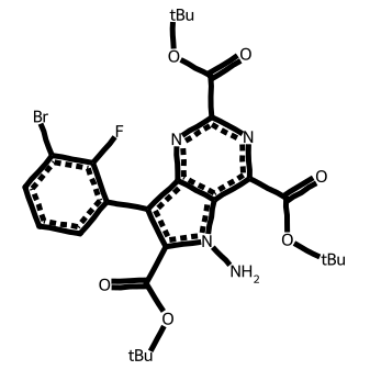 CC(C)(C)OC(=O)c1nc(C(=O)OC(C)(C)C)c2c(n1)c(-c1cccc(Br)c1F)c(C(=O)OC(C)(C)C)n2N